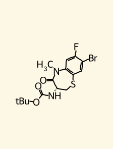 CN1C(=O)[C@@H](NC(=O)OC(C)(C)C)CSc2cc(Br)c(F)cc21